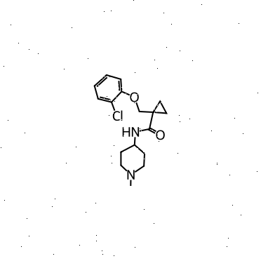 CN1CCC(NC(=O)C2(COc3ccccc3Cl)CC2)CC1